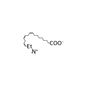 CC/C=C\C/C=C\C/C=C\CCCCCCCC(=O)[O-].C[N+](C)(C)C